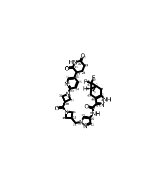 C[C@@]12Cc3[nH]nc(C(=O)Nc4cnn(CC5CN(C(=O)C6CN(c7ccc(C8CCC(=O)NC8=O)cn7)C6)C5)c4)c3C[C@@H]1C2(F)F